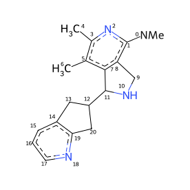 CNc1nc(C)c(C)c2c1CNC2C1Cc2cccnc2C1